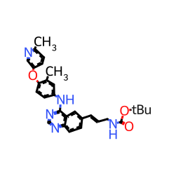 Cc1ccc(Oc2ccc(Nc3ncnc4ccc(C=CCNC(=O)OC(C)(C)C)cc34)cc2C)cn1